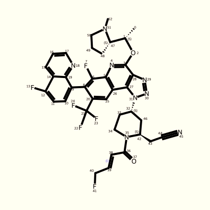 C[C@H](Oc1nc2c(F)c(-c3ccc(F)c4cccnc34)c(C(F)(F)F)cc2c2c1nnn2[C@H]1CCN(C(=O)/C=C/CF)[C@H](CC#N)C1)[C@@H]1CCCN1C